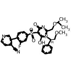 COC[C@@H](c1ccccc1)n1c(COC(C)C)nc(=O)c(S(=O)(=O)c2ccc(-c3cnccc3C#N)c(F)c2)c1O